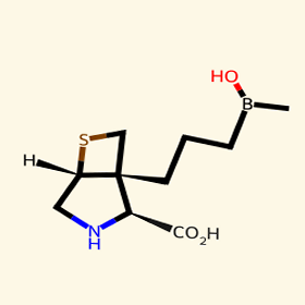 CB(O)CCC[C@]12CS[C@H]1CN[C@@H]2C(=O)O